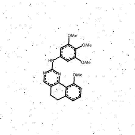 COc1cc(Nc2ncc3c(n2)-c2c(cccc2OC)CC3)cc(OC)c1OC